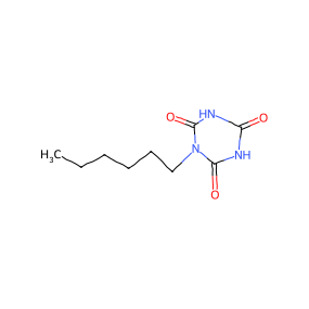 CCCCCCn1c(=O)[nH]c(=O)[nH]c1=O